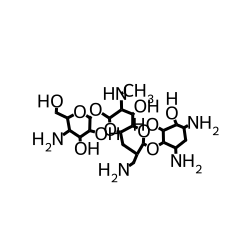 CNC1C(OC2OC(CO)C(N)C(O)C2O)OC2CC(CN)C(OC3C(N)CC(N)C(O)C3O)OC2C1O